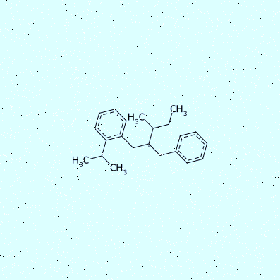 CCC(C)[C](Cc1ccccc1)Cc1ccccc1C(C)C